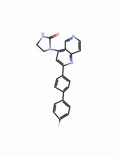 O=C1NCCN1c1cc(-c2ccc(-c3ccc(F)cc3)cc2)nc2ccncc12